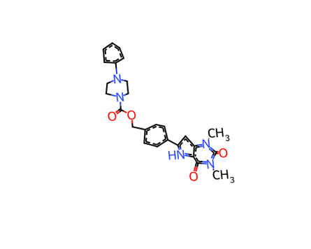 Cn1c(=O)c2[nH]c(-c3ccc(COC(=O)N4CCN(c5ccccc5)CC4)cc3)cc2n(C)c1=O